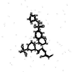 C=C(/C=C\C(F)=C/C)[C@H]1C[C@@H](S(C)(=O)=O)CCN1[C@H]1CCOc2cc(S(=O)(=O)Nc3ncns3)ccc21